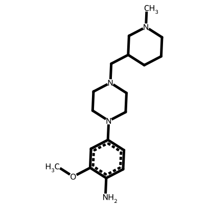 COc1cc(N2CCN(CC3CCCN(C)C3)CC2)ccc1N